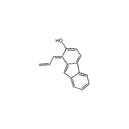 C=C/C=c1/c(O)ccc2c1=Cc1ccccc1-2